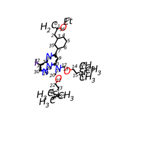 C=C(CC1CCCC(c2cc(N(COCC[Si](C)(C)C)COCC[Si](C)(C)C)n3ncc(I)c3n2)C1)OCC